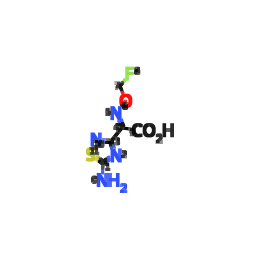 Nc1nc(/C(=N/OCF)C(=O)O)ns1